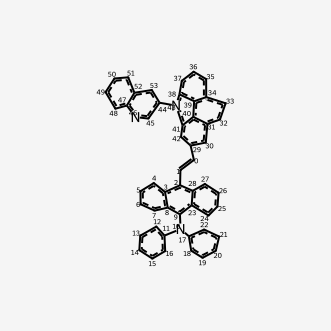 C(=C\c1c2ccccc2c(N(c2ccccc2)c2ccccc2)c2ccccc12)/c1cc2ccc3cccc4c3c2c(c1)n4-c1cnc2ccccc2c1